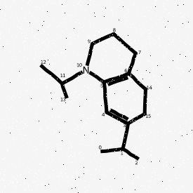 CC(C)C1=CC2=C(CCCN2C(C)C)CC1